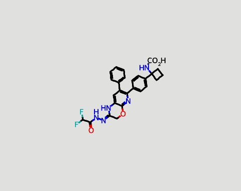 O=C(O)NC1(c2ccc(-c3nc4c(cc3-c3ccccc3)NC(=NNC(=O)C(F)F)CO4)cc2)CCC1